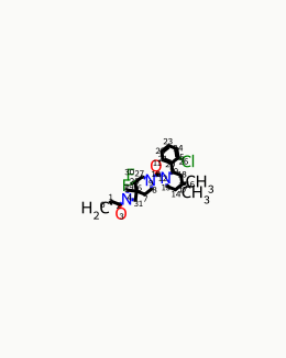 C=CC(=O)N1CC2(CCN(C(=O)N3CCC(C)(C)CC3c3ccccc3Cl)CC2(F)F)C1